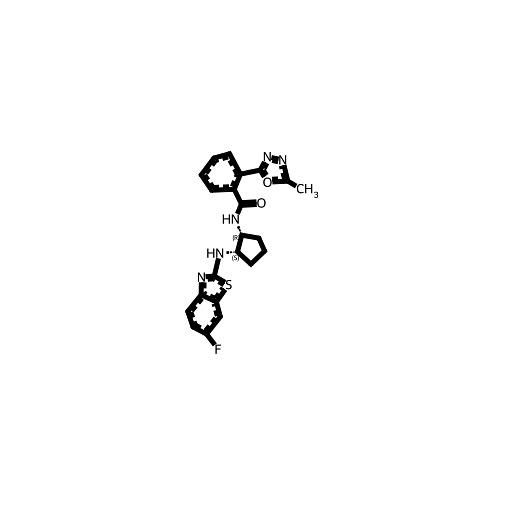 Cc1nnc(-c2ccccc2C(=O)N[C@@H]2CCC[C@@H]2Nc2nc3ccc(F)cc3s2)o1